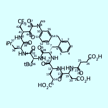 Cc1ccccc1C[C@H](NC(=O)[C@H](CCC(=O)O)NC(=O)[C@H](CC(=O)O)NC(=O)CCC(=O)O)C(=O)N[C@H](C(=O)N[C@@H](CC(C)C)C(=O)N[C@@H](CC(F)(F)F)C(=O)C(=O)N(C)c1ccccc1)C(C)(C)C